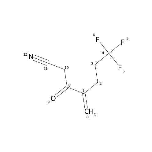 C=C(CCC(F)(F)F)C(=O)CC#N